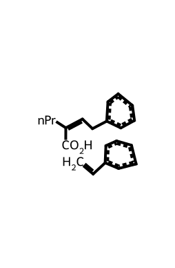 C=Cc1ccccc1.CCCC(=CCc1ccccc1)C(=O)O